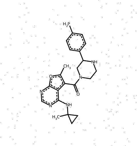 Cc1oc2ncnc(NC3(C)CC3)c2c1C(=O)N1CCNC(c2ccc(P)cc2)C1